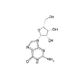 Nc1nc2c(ncn2[C@@H]2O[C@H](CO)[C@H](O)[C@@H]2O)c(=O)[nH]1